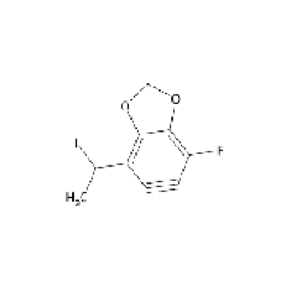 CC(I)c1c#cc(F)c2c1OCO2